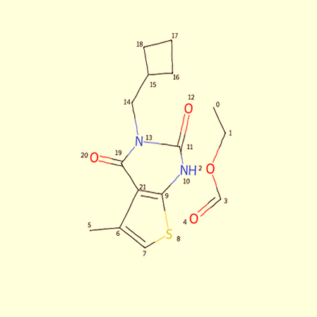 CCOC=O.Cc1csc2[nH]c(=O)n(CC3CCC3)c(=O)c12